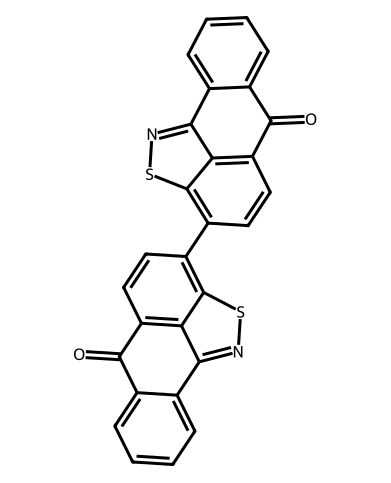 O=C1c2ccccc2-c2nsc3c(-c4ccc5c6c(nsc46)-c4ccccc4C5=O)ccc1c23